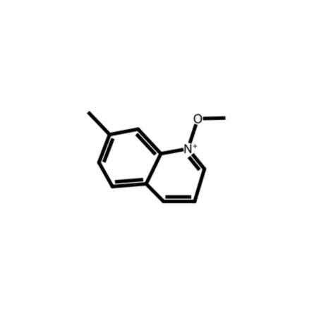 CO[n+]1cccc2ccc(C)cc21